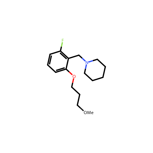 COCCCOc1cccc(F)c1CN1CCCCC1